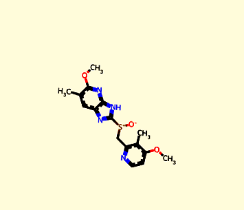 COc1ccnc(C[S+]([O-])c2nc3cc(C)c(OC)nc3[nH]2)c1C